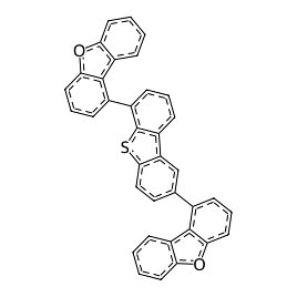 c1ccc2c(c1)oc1cccc(-c3ccc4sc5c(-c6cccc7oc8ccccc8c67)cccc5c4c3)c12